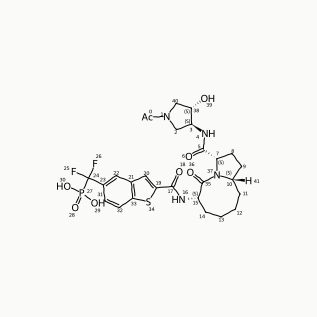 CC(=O)N1C[C@H](NC(=O)[C@@H]2CC[C@@H]3CCCC[C@H](NC(=O)c4cc5cc(C(F)(F)P(=O)(O)O)ccc5s4)C(=O)N32)[C@@H](O)C1